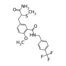 COc1ccc(CC(SC)C(N)=O)cc1C(=O)NCc1ccc(C(F)(F)F)cc1